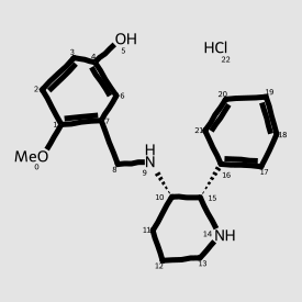 COc1ccc(O)cc1CN[C@H]1CCCN[C@H]1c1ccccc1.Cl